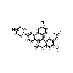 COc1cc2c(cc1OC(C)C)C(c1ccc(Cl)cc1)N(c1ccc(N3CCNCC3)cc1)C(=O)C2